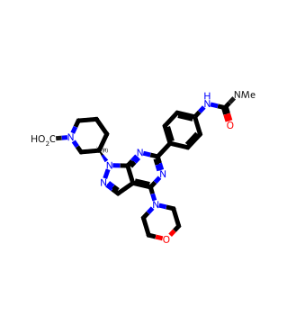 CNC(=O)Nc1ccc(-c2nc(N3CCOCC3)c3cnn([C@@H]4CCCN(C(=O)O)C4)c3n2)cc1